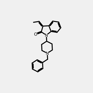 C/C=C1\C(=O)N(C2CCN(Cc3ccccc3)CC2)c2ccccc21